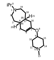 CC(C)N1CC[C@H]2CC=C(OC3CCN(C)CC3)C[C@H]2CC1